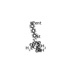 C=C(C)C(=O)OCC(CCc1ccc(-c2ccc(C3CCC(CCCCC)CC3)cc2)cc1CC)COC(=O)C(=C)CC(CO)CO